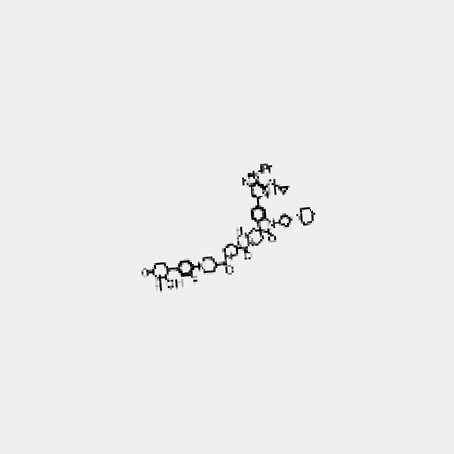 CC(C)n1cnc2cc(-c3ccc4c(c3)N([C@H]3C[C@@H](N5CCCCC5)C3)C(=O)C43CCN(C(=O)[C@]4(C)CCN(C(=O)C5CCN(c6ccc(C7CCC(=O)NC7O)cc6F)CC5)C4)CC3)nc(NC3CC3)c21